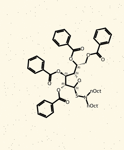 CCCCCCCCN(CCCCCCCC)S[C@@H]1O[C@@H]([C@@H](COC(=O)c2ccccc2)OC(=O)c2ccccc2)[C@H](OC(=O)c2ccccc2)[C@H]1OC(=O)c1ccccc1